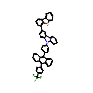 FC(F)(F)c1ccc(-c2c3ccccc3c(-c3ccc(-n4c5ccccc5c5cc(-c6cccc7c6sc6ccccc67)ccc54)cc3)c3ccccc23)cc1